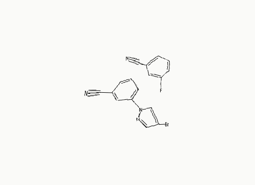 N#Cc1cccc(-n2cc(Br)cn2)c1.N#Cc1cccc(F)c1